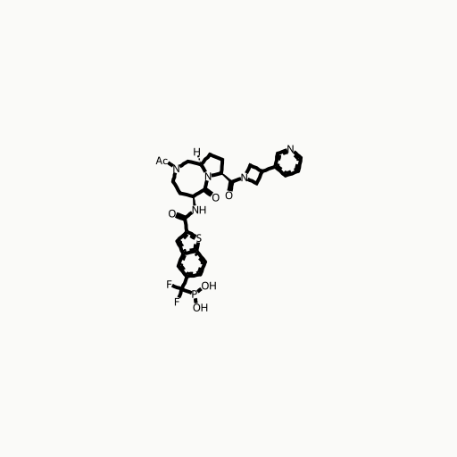 CC(=O)N1CC[C@H](NC(=O)c2cc3cc(C(F)(F)P(O)O)ccc3s2)C(=O)N2[C@H](CC[C@H]2C(=O)N2CC(c3cccnc3)C2)C1